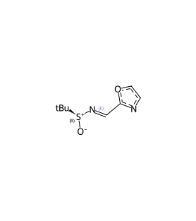 CC(C)(C)[S@+]([O-])/N=C/c1ncco1